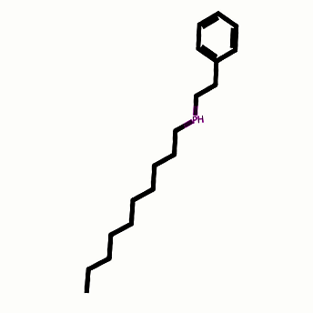 CCCCCCCCCCPCCc1ccccc1